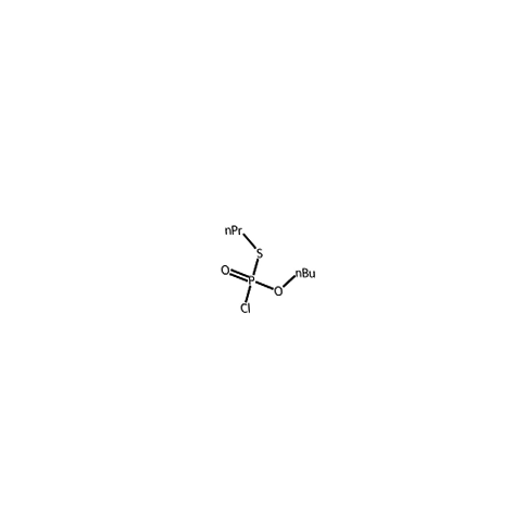 CCCCOP(=O)(Cl)SCCC